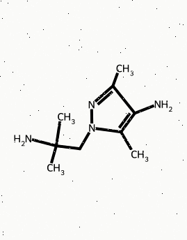 Cc1nn(CC(C)(C)N)c(C)c1N